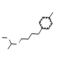 COC(C)OCCCCc1ccc(C)cc1